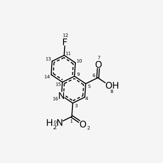 NC(=O)c1cc(C(=O)O)c2cc(F)ccc2n1